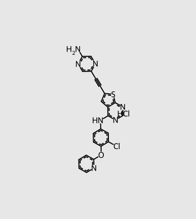 Cl.Nc1cnc(C#Cc2cc3c(Nc4ccc(Oc5ccccn5)c(Cl)c4)ncnc3s2)cn1